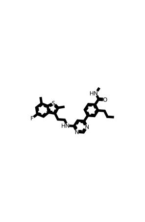 CCCc1cc(-c2cc(NCCc3c(C)sc4c(C)cc(F)cc34)ncn2)ccc1C(=O)NC